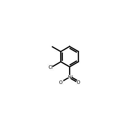 Cc1[c]ccc([N+](=O)[O-])c1Cl